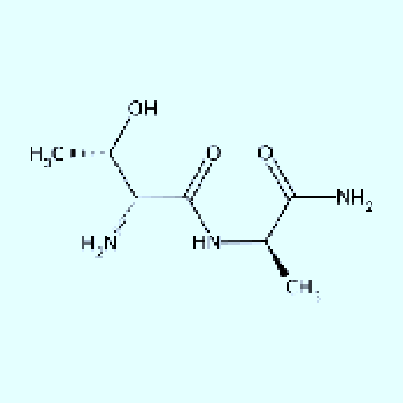 C[C@H](O)[C@@H](N)C(=O)N[C@H](C)C(N)=O